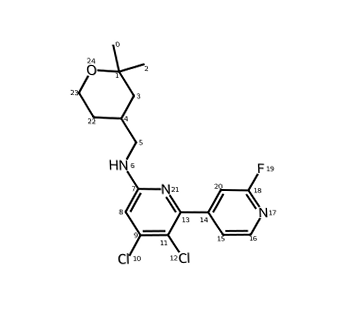 CC1(C)CC(CNc2cc(Cl)c(Cl)c(-c3ccnc(F)c3)n2)CCO1